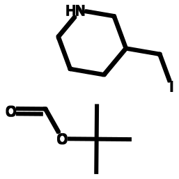 CC(C)(C)OC=O.ICC1CCCNC1